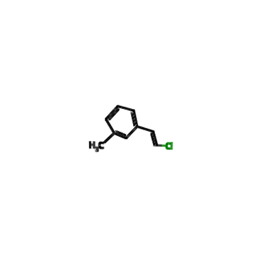 Cc1cccc(C=CCl)c1